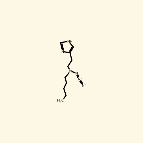 CCCCCN(CCc1c[nH]cn1)N=[N+]=[N-]